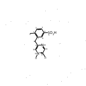 Cc1ccc(S(=O)(=O)O)cc1Cc1c[n+](C)c(C)cn1